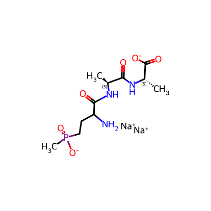 C[C@H](NC(=O)[C@H](C)NC(=O)C(N)CCP(C)(=O)[O-])C(=O)[O-].[Na+].[Na+]